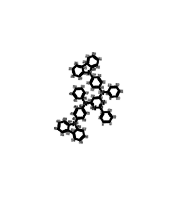 c1ccc(-c2nc(N(c3ccccc3)c3ccc(-n4c5ccccc5c5ccccc54)cc3)cc(N(c3ccccc3)c3ccc(-n4c5ccccc5c5ccccc54)cc3)n2)cc1